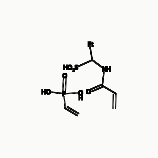 C=CC(=O)NC(CC)S(=O)(=O)O.C=CP(=O)(O)O